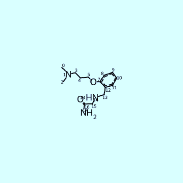 CN(C)CCCOc1ccccc1CNCC(N)=O